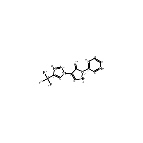 O=c1c(-n2cc(C(F)(F)F)nn2)c[nH]n1-c1cnccn1